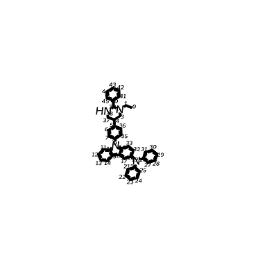 CCN1CC(c2ccc(-n3c4ccccc4c4cc(N(c5ccccc5)c5ccccc5)ccc43)cc2)CNC1c1ccccc1